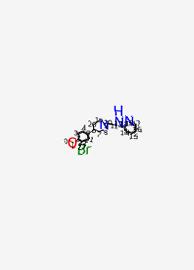 COc1ccc(C2CCN(CCNc3ccccn3)CC2)cc1Br